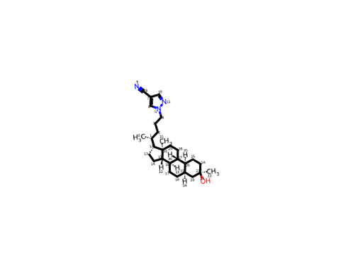 C[C@H](CCCn1cc(C#N)cn1)[C@H]1CC[C@H]2[C@@H]3CC[C@@H]4C[C@](C)(O)CC[C@@H]4[C@H]3CC[C@]12C